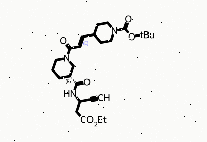 C#CC(CC(=O)OCC)NC(=O)[C@@H]1CCCN(C(=O)/C=C/C2CCN(C(=O)OC(C)(C)C)CC2)C1